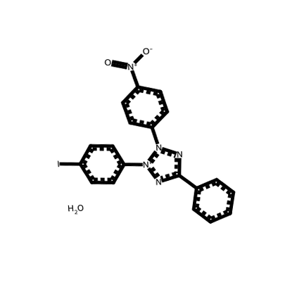 O.O=[N+]([O-])c1ccc(-n2nc(-c3ccccc3)n[n+]2-c2ccc(I)cc2)cc1